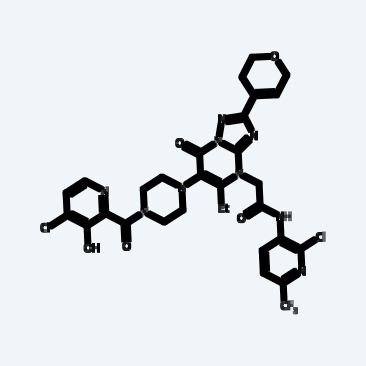 CCc1c(N2CCN(C(=O)c3nccc(Cl)c3O)CC2)c(=O)n2nc(C3=CCOCC3)nc2n1CC(=O)Nc1ccc(C(F)(F)F)nc1Cl